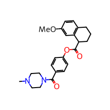 COc1ccc2c(c1)C(C(=O)Oc1ccc(C(=O)N3CCN(C)CC3)cc1)CCC2